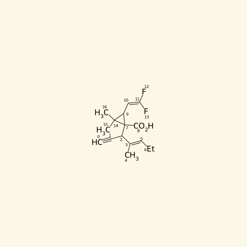 C#CC(C(C)=CCC)C1(C(=O)O)C(C=C(F)F)C1(C)C